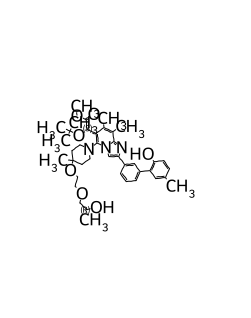 COC(=O)[C@@H](OC(C)(C)C)c1c(C)c(C)c2nc(-c3cccc(-c4cc(C)ccc4O)c3)cn2c1N1CCC(C)(OCCOC[C@@H](C)O)CC1